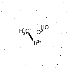 [CH3][Ti+3].[O-2].[OH-]